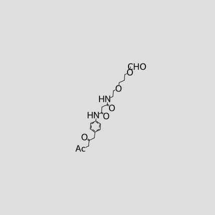 CC(=O)CC(=O)Cc1ccc(NC(=O)CC(=O)NCCOCCCOC=O)cc1